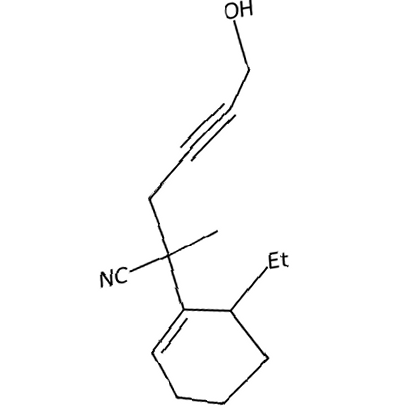 CCC1CCCC=C1C(C)(C#N)CC#CCO